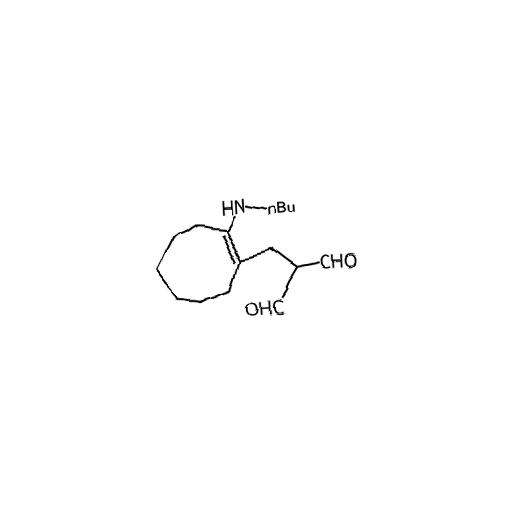 CCCCN/C1=C(\CC(C=O)C=O)CCCCCC1